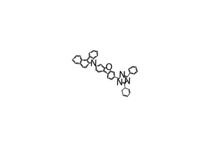 C1=CCC(c2nc(-c3ccccc3)nc(-c3ccc4c(c3)oc3cc(-n5c6ccccc6c6c7ccccc7ccc65)ccc34)n2)C=C1